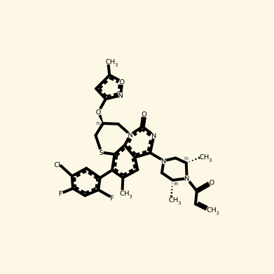 C=CC(=O)N1[C@H](C)CN(c2nc(=O)n3c4c(c(-c5cc(Cl)c(F)cc5F)c(C)cc24)SC[C@@H](Oc2cc(C)on2)C3)C[C@@H]1C